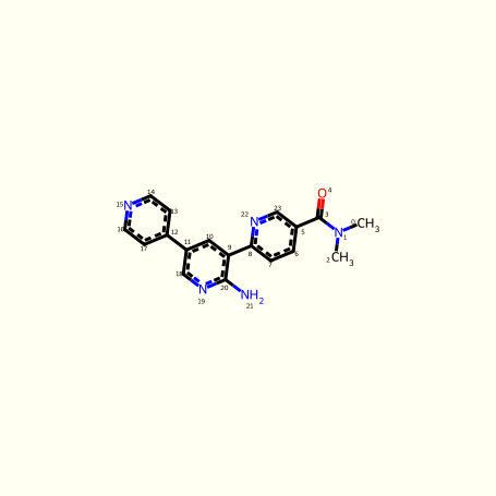 CN(C)C(=O)c1ccc(-c2cc(-c3ccncc3)cnc2N)nc1